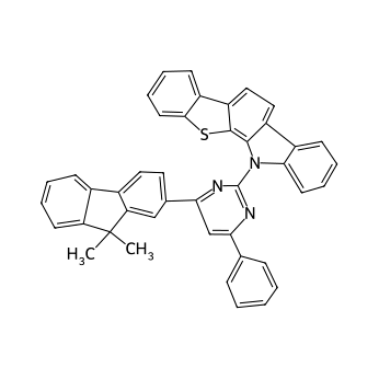 CC1(C)c2ccccc2-c2ccc(-c3cc(-c4ccccc4)nc(-n4c5ccccc5c5ccc6c7ccccc7sc6c54)n3)cc21